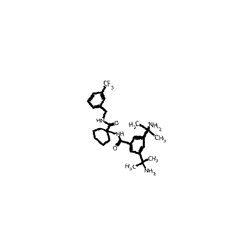 CC(C)(N)c1cc(C(=O)NC2(C(=O)NCc3cccc(C(F)(F)F)c3)CCCCC2)cc(C(C)(C)N)c1